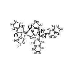 CC1C=Cc2c(oc3c2c(-c2cccc4c2oc2cccc(-c5nc(-c6ccc7ccccc7c6)nc(-c6ccc7ccccc7c6)n5)c24)cc2ccccc23)C1